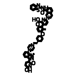 Cc1c(O[C@H]2CC[C@H](CCN3CCN(c4cccc5c(C6CCC(=O)NC6=O)nn(C)c45)CC3)CC2)cccc1-c1ccc(N2CCc3cccc(C(=O)Nc4nc5ccccc5s4)c3C2)nc1C(=O)O